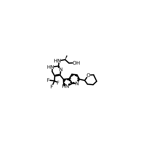 C[C@@H](CO)NC1=NC(c2c[nH]c3nc(C4CCCCO4)ccc23)=C(C(F)(F)F)CN1